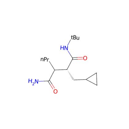 CCCC(C(N)=O)[C@@H](CC1CC1)C(=O)NC(C)(C)C